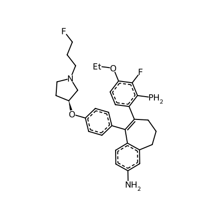 CCOc1ccc(C2=C(c3ccc(O[C@H]4CCN(CCCF)C4)cc3)c3ccc(N)cc3CCC2)c(P)c1F